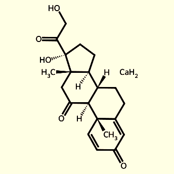 C[C@]12C=CC(=O)C=C1CC[C@@H]1[C@@H]2C(=O)C[C@@]2(C)[C@H]1CC[C@]2(O)C(=O)CO.[CaH2]